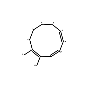 CC1=C(C)CCCCC=CC=C1